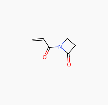 C=CC(=O)N1CCC1=O